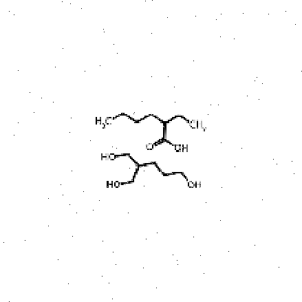 CCCCC(CC)C(=O)O.OCCCC(CO)CO